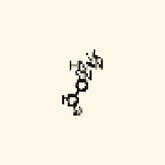 COc1cncc(-c2ccc3nc(Nc4cncc(C)n4)sc3c2)c1